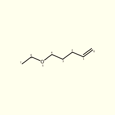 C=CCCCO[C]C